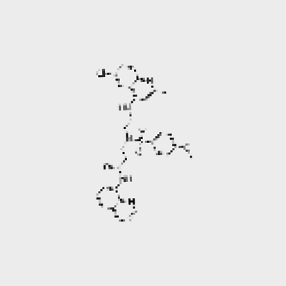 COc1ccc(S(=O)(=O)N(CCNc2cc(C)nc3ccc(Cl)cc23)CCC(=O)Nc2cccc3cccnc23)cc1